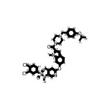 Cc1cc(Oc2ccc3cc(C(=O)N4CCN(Cc5ccc(OC(C)C)cc5)CC4)n(C)c3c2)ncc1N(C)S(=O)(=O)c1ccc(Cl)c(Cl)c1